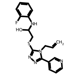 C=CCn1c(SCC(O)Nc2ccccc2F)nnc1-c1cccnc1